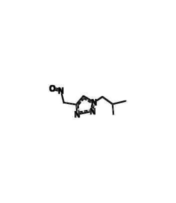 CC(C)Cn1cc(CN=O)nn1